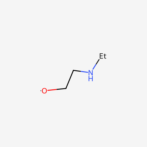 CCNCC[O]